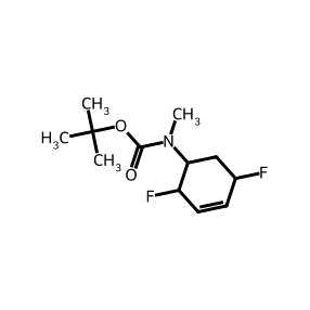 CN(C(=O)OC(C)(C)C)C1CC(F)C=CC1F